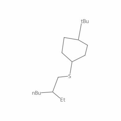 CCCCC(CC)CSC1CCC(C(C)(C)C)CC1